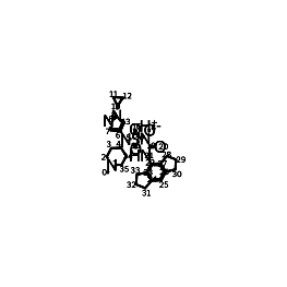 CN1CCC(N(c2cnn(C3CC3)c2)S(=O)(=O)[NH+]([O-])C(=O)Nc2c3c(cc4c2CCC4)CCC3)CC1